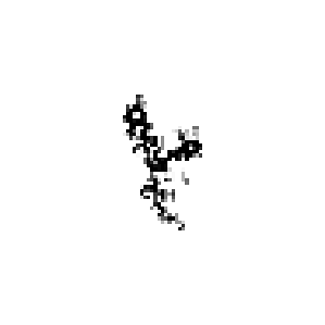 CN(C(=O)NCc1cccc(F)c1Cl)[C@@H](CCC(=O)NCCN)COC(=O)Nc1cc2cc(F)ccc2cn1